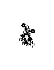 CC(C)C(=O)Nc1nc2c(ncn2[C@@H]2O[C@H](COC(=O)c3ccccc3)[C@@H](OC(=O)c3ccccc3)[C@H]2OC(=O)c2ccccc2)c(=O)[nH]1